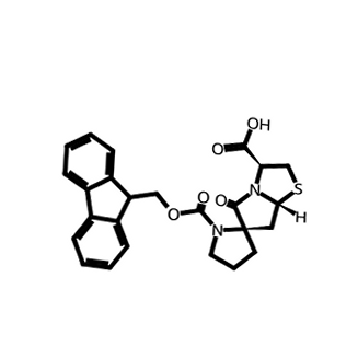 O=C(O)[C@H]1CS[C@@H]2C[C@]3(CCCN3C(=O)OCC3c4ccccc4-c4ccccc43)C(=O)N12